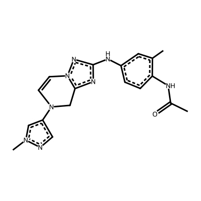 CC(=O)Nc1ccc(Nc2nc3n(n2)C=CN(c2cnn(C)c2)C3)cc1C